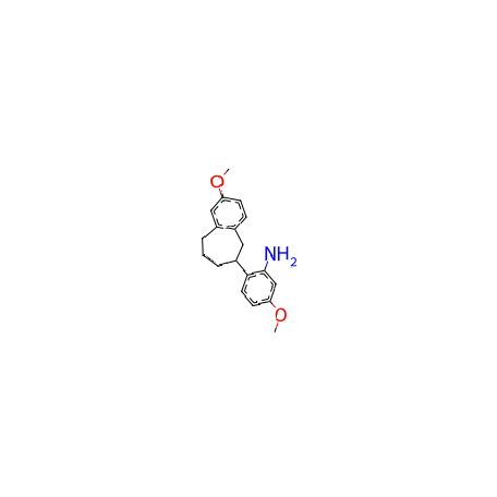 COc1ccc(C2CCCc3cc(OC)ccc3C2)c(N)c1